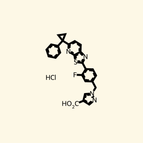 Cl.O=C(O)c1cnn(Cc2ccc(-c3nc4ccc(C5(c6ccccc6)CC5)nc4s3)c(F)c2)c1